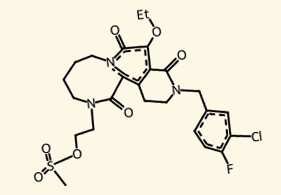 CCOc1c2c(c3n(c1=O)CCCCN(CCOS(C)(=O)=O)C3=O)CCN(Cc1ccc(F)c(Cl)c1)C2=O